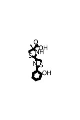 C[C@]1(C(=O)O)CSC(C2CSC(c3ccccc3O)=N2)N1